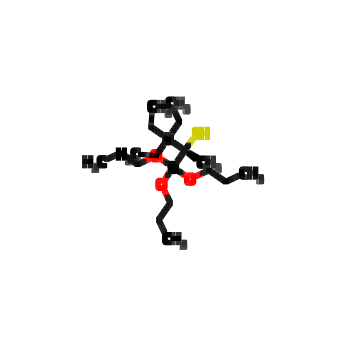 CCCO[Si](OCCC)(OCCC)[C@@](C)(S)[Si](CC)(CC)CC